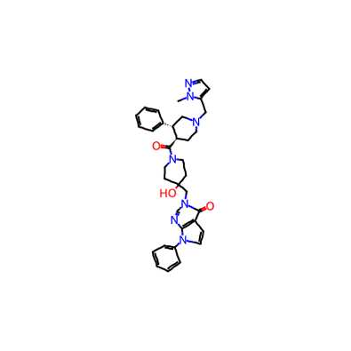 Cn1nccc1CN1CC[C@@H](C(=O)N2CCC(O)(Cn3cnc4c(ccn4-c4ccccc4)c3=O)CC2)[C@H](c2ccccc2)C1